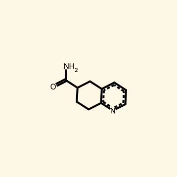 NC(=O)C1CCc2ncccc2C1